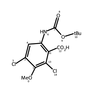 COc1c(Cl)cc(NC(=O)OC(C)(C)C)c(C(=O)O)c1Cl